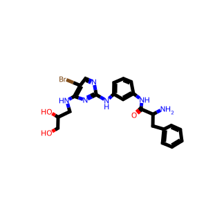 NC(Cc1ccccc1)C(=O)Nc1cccc(Nc2ncc(Br)c(NCC(O)CO)n2)c1